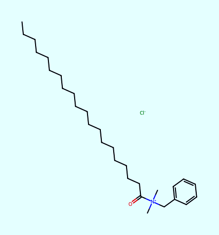 CCCCCCCCCCCCCCCCCCCC(=O)[N+](C)(C)Cc1ccccc1.[Cl-]